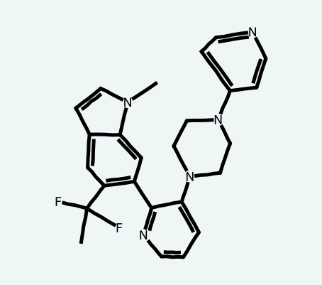 Cn1ccc2cc(C(C)(F)F)c(-c3ncccc3N3CCN(c4ccncc4)CC3)cc21